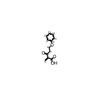 C=C(C(=O)O)C(=O)CCOc1ccccc1